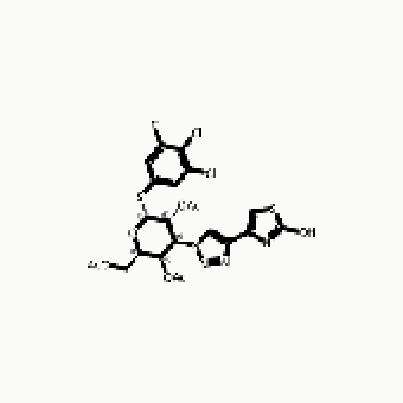 CC(=O)OC[C@H]1O[C@H](Sc2cc(Cl)c(Cl)c(Cl)c2)[C@H](OC(C)=O)[C@@H](n2cc(-c3csc(O)n3)nn2)[C@H]1OC(C)=O